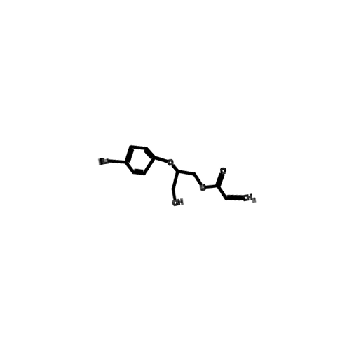 C=CC(=O)OCC(CO)Oc1ccc(C(C)CC)cc1